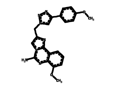 COc1ccc(-c2cn(Cc3cn4c(N)nc5c(OC)cccc5c4n3)nn2)cc1